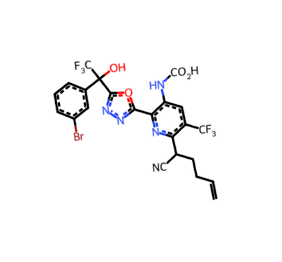 C=CCCC(C#N)c1nc(-c2nnc(C(O)(c3cccc(Br)c3)C(F)(F)F)o2)c(NC(=O)O)cc1C(F)(F)F